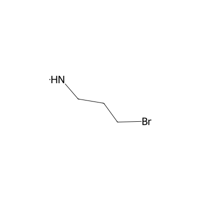 [NH]CCCBr